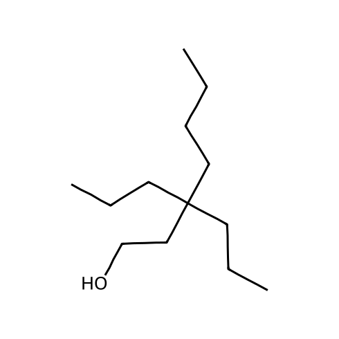 CCCCC(CCC)(CCC)CCO